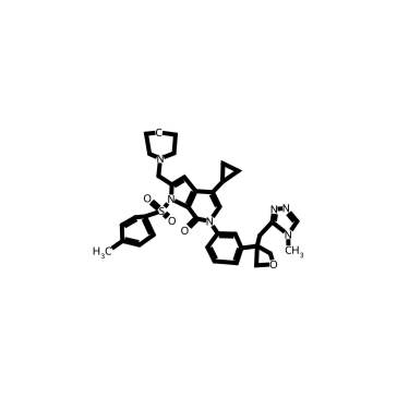 Cc1ccc(S(=O)(=O)n2c(CN3CCCCC3)cc3c(C4CC4)cn(-c4cccc(C5(Cc6nncn6C)COC5)c4)c(=O)c32)cc1